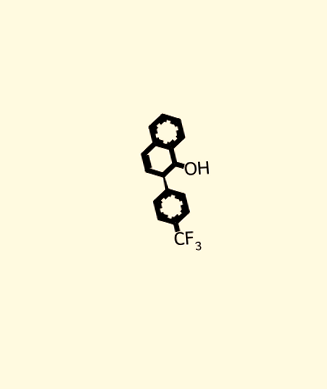 OC1c2ccccc2C=C[C@@H]1c1ccc(C(F)(F)F)cc1